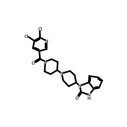 O=C(c1cnc(Cl)c(Cl)c1)N1CCC(N2CCC(n3c(=O)[nH]c4ccccc43)CC2)CC1